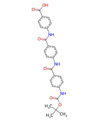 CC(C)(C)OC(=O)Nc1ccc(C(=O)Nc2ccc(C(=O)Nc3ccc(C(=O)O)cc3)cc2)cc1